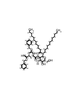 CCCCCCCCCCCCN(C(=O)CCCCCCCCCCC)[C@@H]1O[C@H](CO)[C@@H](O)[C@H](O)[C@H]1NC(=O)[C@H](CCC(=N)OCc1ccccc1)NC(=O)OCc1ccccc1